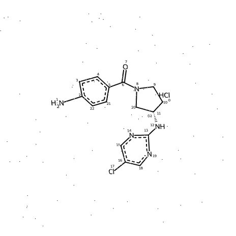 Cl.Nc1ccc(C(=O)N2CC[C@H](Nc3ncc(Cl)cn3)C2)cc1